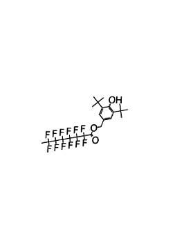 CC(C)(C)c1cc(COC(=O)C(F)(F)C(F)(F)C(F)(F)C(F)(F)C(F)(F)C(C)(F)F)cc(C(C)(C)C)c1O